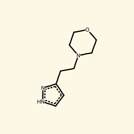 c1cc(CCN2CCOCC2)n[nH]1